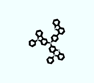 c1ccc(N2c3ccccc3Oc3cc(N(c4ccc(-c5cccc6c5sc5ccccc56)cc4)c4ccc5c(c4)c4ccccc4n5-c4ccccc4)ccc32)cc1